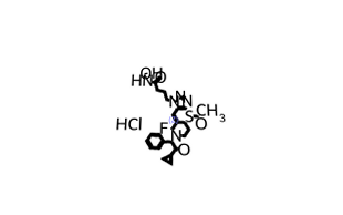 CC(=O)SC1CCN(C(C(=O)C2CC2)c2ccccc2F)C/C1=C/c1cnnn1CCCC(=O)NO.Cl